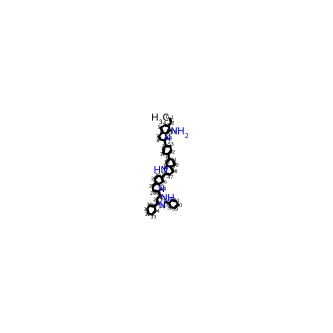 C/C=C\c1ccc2ccc(-c3ccc(C4=CC5NC(c6ccc7ccc(C8C=C(c9ccccc9)N=C(c9ccccc9)N8)nc7c6)=CC=C5C=C4)cc3)nc2c1N